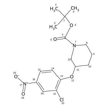 CC(C)(C)OC(=O)N1CCCC(Oc2ccc([N+](=O)[O-])cc2Cl)C1